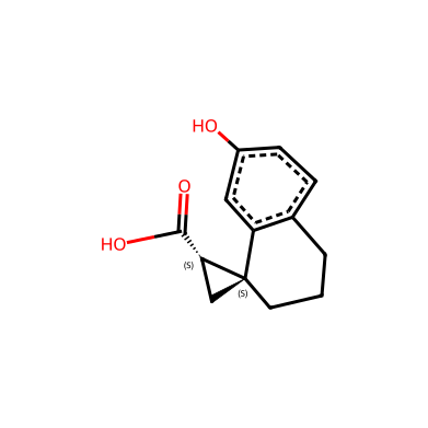 O=C(O)[C@H]1C[C@@]12CCCc1ccc(O)cc12